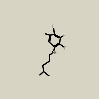 CC(C)CCCNc1cc(F)c(F)c(F)c1F